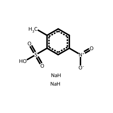 Cc1ccc([N+](=O)[O-])cc1S(=O)(=O)O.[NaH].[NaH]